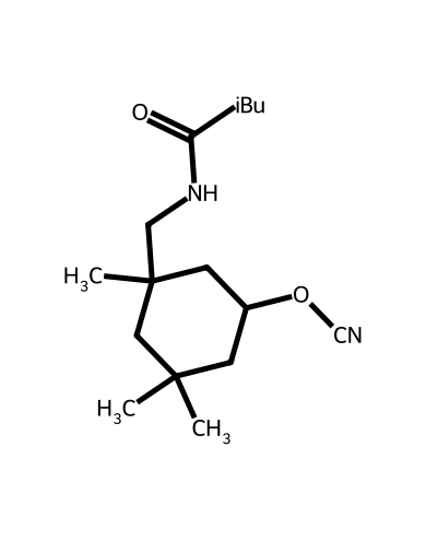 CCC(C)C(=O)NCC1(C)CC(OC#N)CC(C)(C)C1